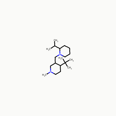 CC(C)C1CCCCN1CC1CN(C)CCC1C(C)(C)C